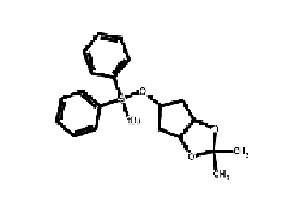 CC1(C)OC2CC(O[Si](c3ccccc3)(c3ccccc3)C(C)(C)C)CC2O1